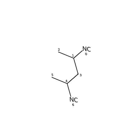 [C-]#[N+]C(C)CC(C)[N+]#[C-]